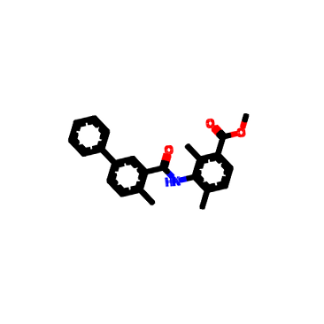 COC(=O)c1ccc(C)c(NC(=O)c2cc(-c3ccccc3)ccc2C)c1C